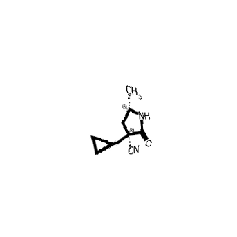 C[C@H]1C[C@](C#N)(C2CC2)C(=O)N1